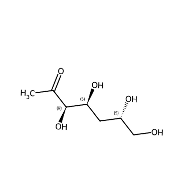 CC(=O)[C@H](O)[C@@H](O)C[C@H](O)CO